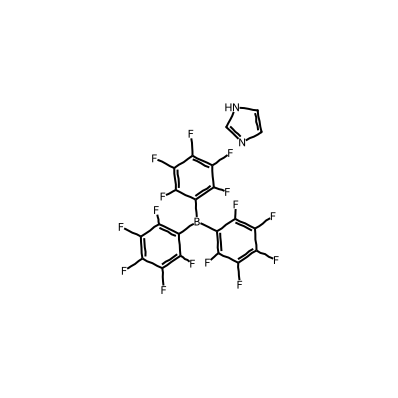 Fc1c(F)c(F)c(B(c2c(F)c(F)c(F)c(F)c2F)c2c(F)c(F)c(F)c(F)c2F)c(F)c1F.c1c[nH]cn1